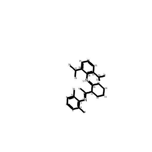 CC(=Nc1c(C)cccc1C)C1CCCCC1=Nc1c(C(C)C)cccc1C(C)C